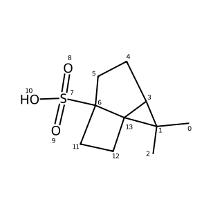 CC1(C)C2CCC3(S(=O)(=O)O)CCC213